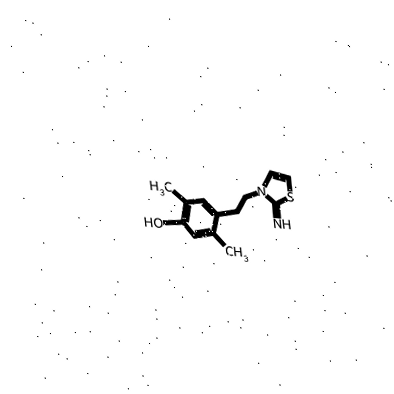 Cc1cc(CCn2ccsc2=N)c(C)cc1O